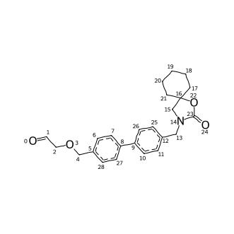 O=CCOCc1ccc(-c2ccc(CN3CC4(CCCCC4)OC3=O)cc2)cc1